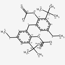 CCc1cc(Cc2cc(CC)cc(C(C)(C)C)c2OC(=O)Cl)c(OC(=O)Cl)c(C(C)(C)C)c1